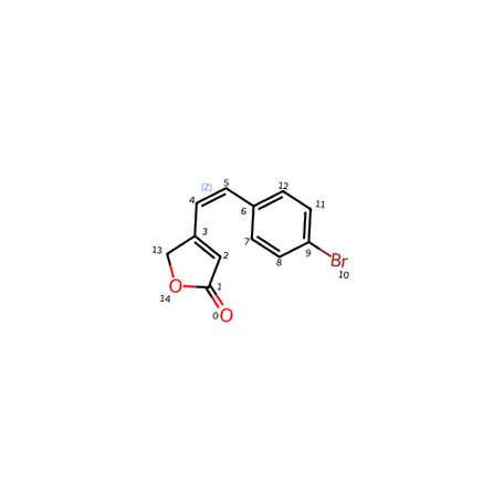 O=C1C=C(/C=C\c2ccc(Br)cc2)CO1